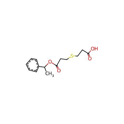 CC(OC(=O)CCSCCC(=O)O)c1ccccc1